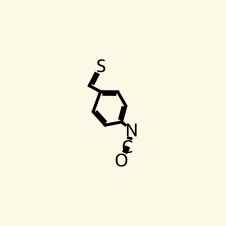 O=C=Nc1ccc(C=S)cc1